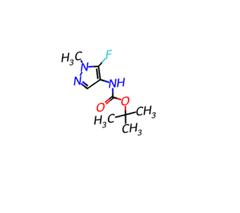 Cn1ncc(NC(=O)OC(C)(C)C)c1F